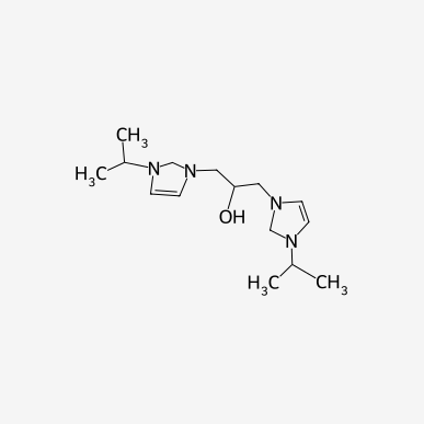 CC(C)N1C=CN(CC(O)CN2C=CN(C(C)C)C2)C1